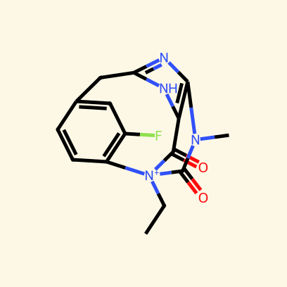 CC[N+]12C(=O)c3[nH]c(nc3N(C)C1=O)Cc1ccc2c(F)c1